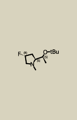 C[C@H](OC(C)(C)C)[C@@H]1C[C@@H](F)CN1C